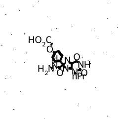 CCCn1c(=O)[nH]c(=O)c2c1=NC(C(=O)NN)(c1ccc(OCC(=O)O)cc1)N=2